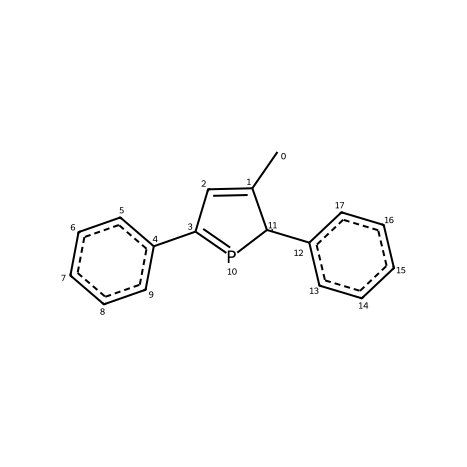 CC1=CC(c2ccccc2)=P[C]1c1ccccc1